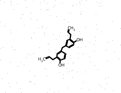 C=CCc1cc(Cc2ccc(O)c(CC=C)c2)ccc1O